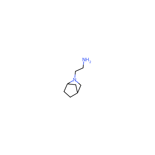 NCCN1CC2CCC1C2